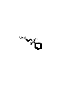 COCCS(=O)(=O)c1ccccc1